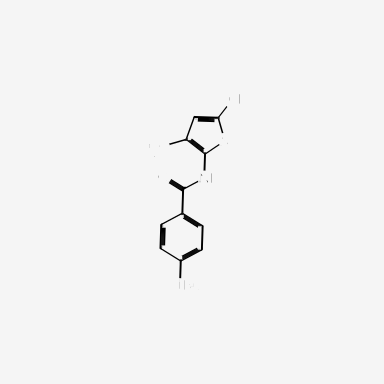 Cc1cc(C(=O)O)c(NC(=O)c2ccc(C(C)(C)C)cc2)s1